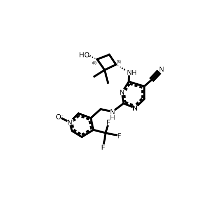 CC1(C)[C@H](O)C[C@@H]1Nc1nc(NCc2c[n+]([O-])ccc2C(F)(F)F)ncc1C#N